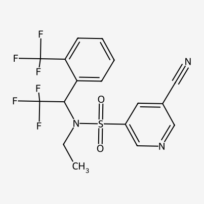 CCN(C(c1ccccc1C(F)(F)F)C(F)(F)F)S(=O)(=O)c1cncc(C#N)c1